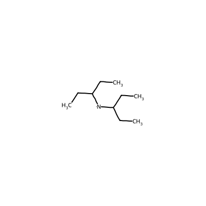 CCC(CC)[N]C(CC)CC